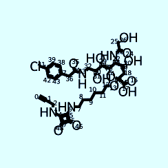 C#CCNc1c(NCCCCCCO[C@]2(C(=O)O)C[C@H](O)[C@@H](NC(=O)CO)[C@H]([C@H](O)[C@H](O)CNC(=O)Cc3ccc(Cl)cc3)O2)c(=O)c1=O